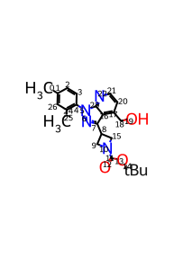 Cc1ccc(-n2nc(C3CN(C(=O)OC(C)(C)C)C3)c3c(CO)ccnc32)c(C)c1